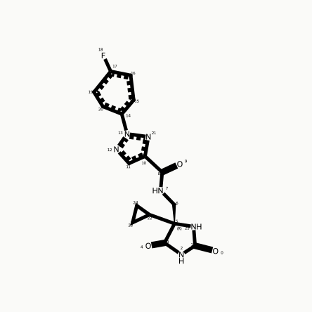 O=C1NC(=O)[C@](CNC(=O)c2cnn(-c3ccc(F)cc3)n2)(C2CC2)N1